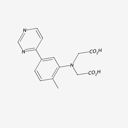 Cc1ccc(-c2ccncn2)cc1N(CC(=O)O)CC(=O)O